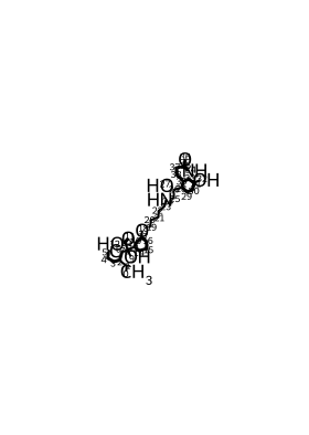 CCc1ccccc1C(O)(C(=O)O)c1cccc(OCCCCCNCC(O)c2ccc(O)c3[nH]c(=O)ccc23)c1